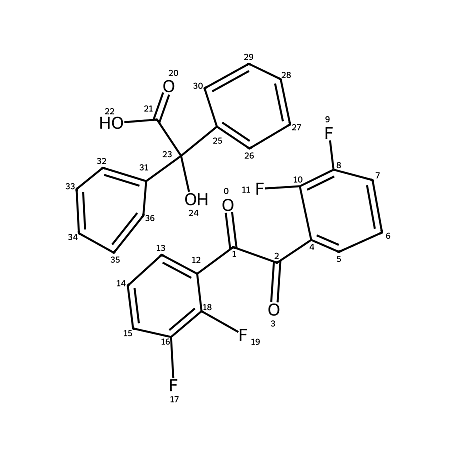 O=C(C(=O)c1cccc(F)c1F)c1cccc(F)c1F.O=C(O)C(O)(c1ccccc1)c1ccccc1